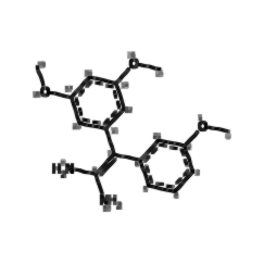 COc1cccc(C(=C(N)N)c2cc(OC)cc(OC)c2)c1